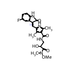 CON(C)C(=O)C(O)CNC(=O)c1c(C)[nH]c(/C=C2\C(=O)Nc3ccc(F)cc32)c1C